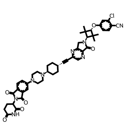 CC1(C)[C@H](Oc2ccc(C#N)c(Cl)c2)C(C)(C)[C@H]1N1Cc2nc(C#C[C@H]3CC[C@H](N4CCN(c5ccc6c(c5)C(=O)N(C5CCC(=O)NC5=O)C6=O)CC4)CC3)cnc2C1=O